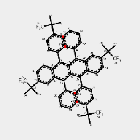 CC(C)(c1ccc(-c2c3ccc(C(C)(C)C(F)(F)F)cc3c(-c3ccccc3)c3c(-c4ccc(C(C)(C)C(F)(F)F)cc4)c4ccc(C(C)(C)C(F)(F)F)cc4c(-c4ccccc4)c23)cc1)C(F)(F)F